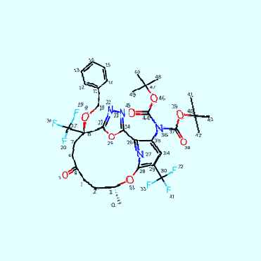 C[C@@H]1CCC(=O)CC[C@](OCc2ccccc2)(C(F)(F)F)c2nnc(o2)-c2nc(c(C(F)(F)F)cc2N(C(=O)OC(C)(C)C)C(=O)OC(C)(C)C)O1